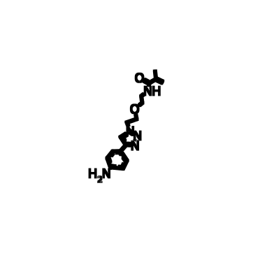 C=C(C)C(=O)NCCOCCn1cc(-c2ccc(N)cc2)nn1